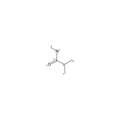 C[N]C(=O)C(C)C